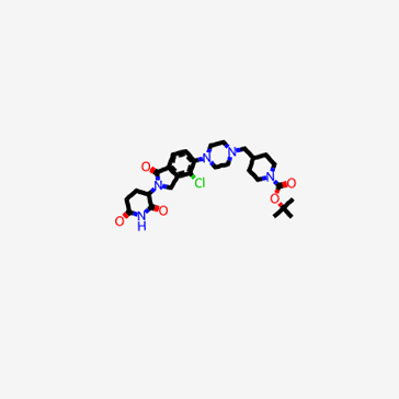 CC(C)(C)OC(=O)N1CCC(CN2CCN(c3ccc4c(c3Cl)CN(C3CCC(=O)NC3=O)C4=O)CC2)CC1